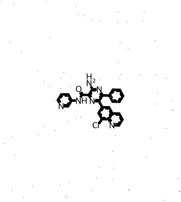 Nc1nc(-c2ccccc2)c(-c2cc(Cl)c3ncccc3c2)nc1C(=O)Nc1cccnc1